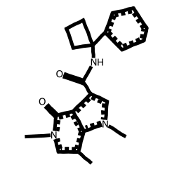 Cc1cn(C)c(=O)c2c(C(=O)NC3(c4ccccc4)CCC3)cn(C)c12